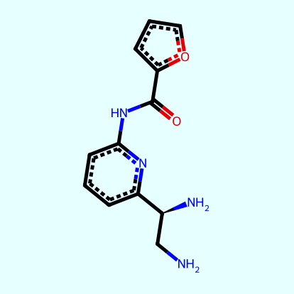 NC[C@H](N)c1cccc(NC(=O)c2ccco2)n1